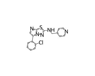 Clc1ccccc1-c1cnc2sc(NCc3ccncc3)nn12